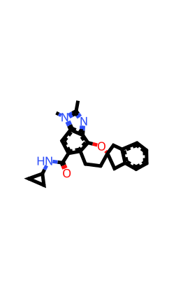 Cc1nc2c3c(c(C(=O)NC4CC4)cc2n1C)CCC1(Cc2ccccc2C1)O3